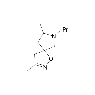 CC1=NOC2(C1)CC(C)N(C(C)C)C2